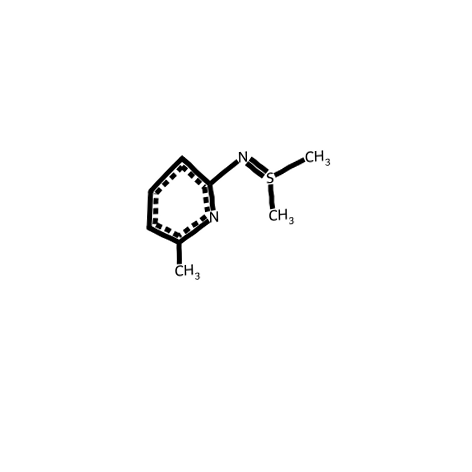 Cc1cccc(N=S(C)C)n1